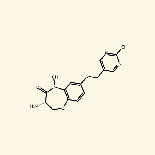 CN1C(=O)[C@@H](N)COc2ccc(OCc3cnc(Cl)nc3)cc21